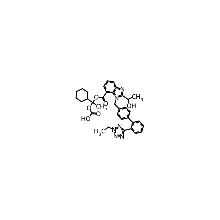 CCn1nnc(-c2ccccc2-c2ccc(Cn3c(C(C)O)nc4cccc(C(=O)OC(C)(OC(=O)O)C5CCCCC5)c43)cc2)n1